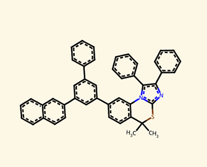 CC1(C)Sc2nc(-c3ccccc3)c(-c3ccccc3)n2-c2cc(-c3cc(-c4ccccc4)cc(-c4ccc5ccccc5c4)c3)ccc21